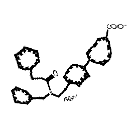 O=C([O-])c1ccc(-c2ccc(CN(Cc3ccccc3)C(=O)Cc3ccccc3)cc2)cc1.[Na+]